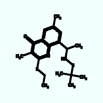 CCSc1oc2c(C(C)NSC(C)(C)C)cc(C)cc2c(=O)c1C